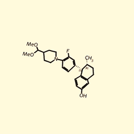 COC(OC)C1CCN(c2ccc([C@H]3c4ccc(O)cc4CC[C@H]3C)cc2F)CC1